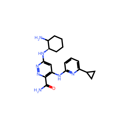 NC(=O)c1nnc(N[C@@H]2CCCCC2N)cc1Nc1cccc(C2CC2)n1